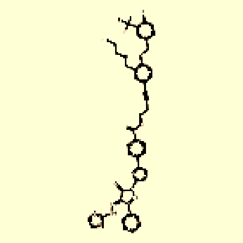 O=C(NCCC#Cc1ccc(OCc2ccc(F)c(C(F)(F)F)c2)c(CNCCO)c1)c1ccc(-c2csc(N3N=C(c4ccccc4)/C(=N\Nc4nccs4)C3=O)n2)cc1